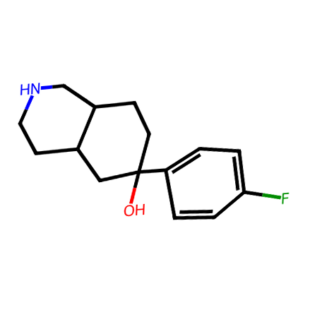 OC1(c2ccc(F)cc2)CCC2CNCCC2C1